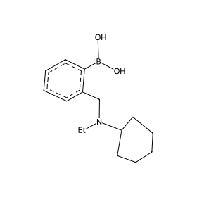 CCN(Cc1ccccc1B(O)O)C1CCCCC1